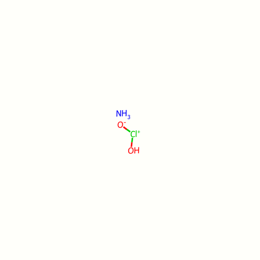 N.[O-][Cl+]O